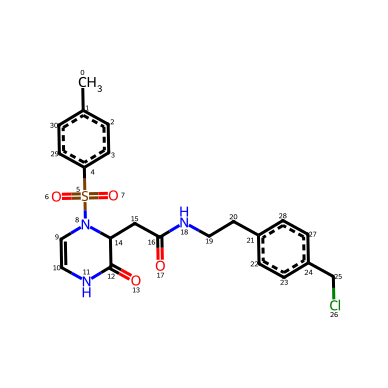 Cc1ccc(S(=O)(=O)N2C=CNC(=O)C2CC(=O)NCCc2ccc(CCl)cc2)cc1